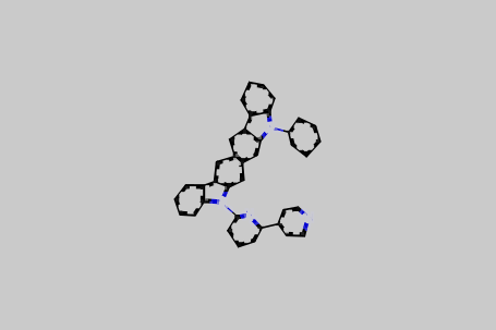 c1ccc(-n2c3ccccc3c3cc4cc5c6ccccc6n(-c6cccc(-c7ccncc7)n6)c5cc4cc32)cc1